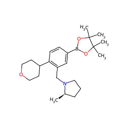 C[C@@H]1CCCN1Cc1cc(B2OC(C)(C)C(C)(C)O2)ccc1C1CCOCC1